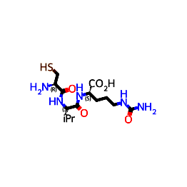 CC(C)[C@H](NC(=O)[C@@H](N)CS)C(=O)N[C@@H](CCCNC(N)=O)C(=O)O